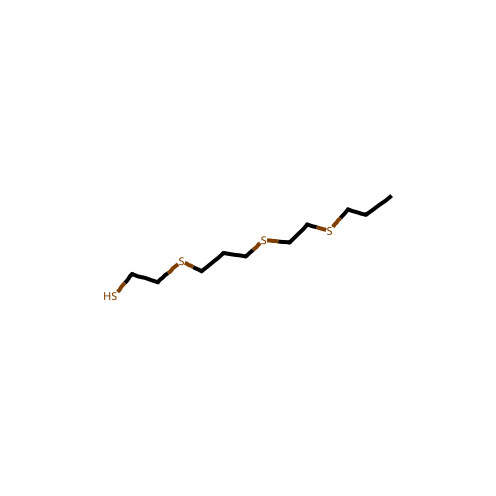 CCCSCCSCCCSCCS